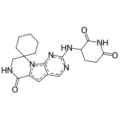 O=C1CCC(Nc2ncc3cc4n(c3n2)C2(CCCCC2)CNC4=O)C(=O)N1